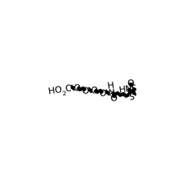 O=C(O)CCOCCOCCOCCOCCNC(=O)CCCCC1SCC2SC(=O)NC12